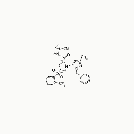 Cc1cc(N2C[C@H](S(=O)(=O)c3ccccc3C(F)(F)F)C[C@@H]2C(=O)NC2(C#N)CC2)n(Cc2ccccc2)n1